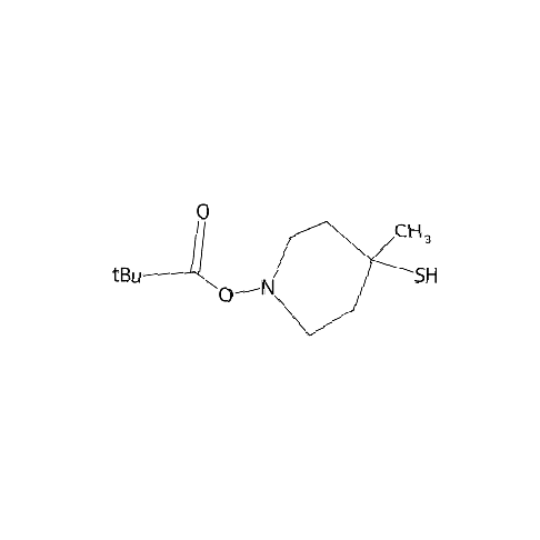 CC1(S)CCN(OC(=O)C(C)(C)C)CC1